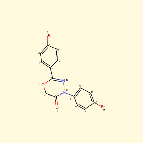 O=C1COC(c2ccc(Br)cc2)=NN1c1ccc(Br)cc1